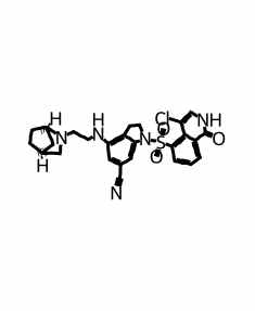 N#Cc1cc(NCCN2C[C@H]3CC[C@@H]2C3)c2c(c1)N(S(=O)(=O)c1cccc3c(=O)[nH]cc(Cl)c13)CC2